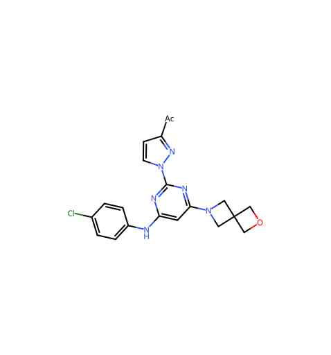 CC(=O)c1ccn(-c2nc(Nc3ccc(Cl)cc3)cc(N3CC4(COC4)C3)n2)n1